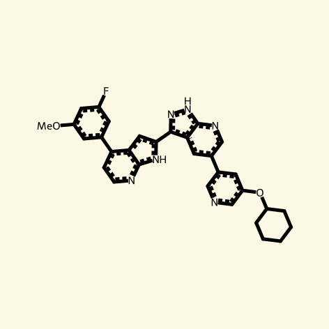 COc1cc(F)cc(-c2ccnc3[nH]c(-c4n[nH]c5ncc(-c6cncc(OC7CCCCC7)c6)cc45)cc23)c1